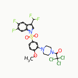 COc1ccc(S(=O)(=O)n2cc(C(F)F)c3cc(F)c(F)cc32)cc1N1CCN(C(=O)C(Cl)(Cl)Cl)CC1